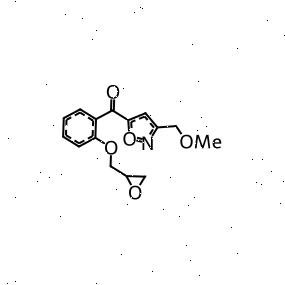 COCc1cc(C(=O)c2ccccc2OCC2CO2)on1